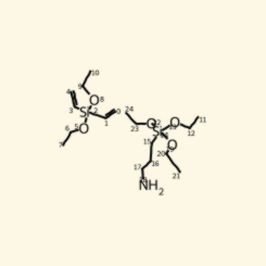 C=C[Si](C=C)(OCC)OCC.CCO[Si](CCCN)(OCC)OCC